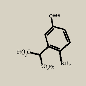 CCOC(=O)C(C(=O)OCC)c1cc(OC)ccc1N